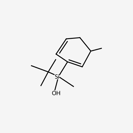 CC1C=C([Si](C)(O)C(C)(C)C)C=CC1